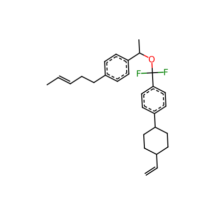 C=CC1CCC(c2ccc(C(F)(F)OC(C)c3ccc(CC/C=C/C)cc3)cc2)CC1